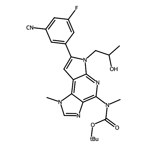 [C-]#[N+]c1cc(F)cc(-c2cc3c4c(ncn4C)c(N(C)C(=O)OC(C)(C)C)nc3n2CC(C)O)c1